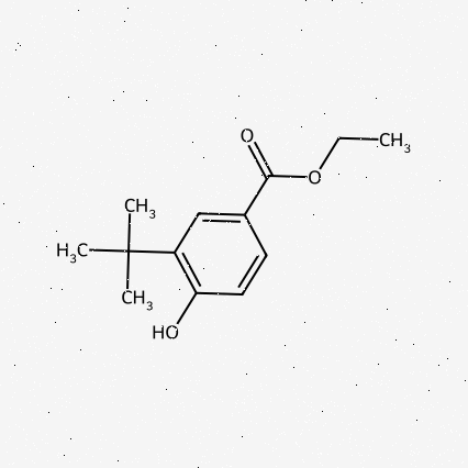 CCOC(=O)c1ccc(O)c(C(C)(C)C)c1